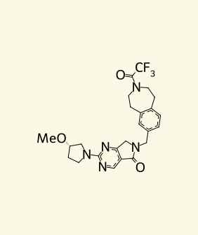 CO[C@H]1CCN(c2ncc3c(n2)CN(Cc2ccc4c(c2)CCN(C(=O)C(F)(F)F)CC4)C3=O)C1